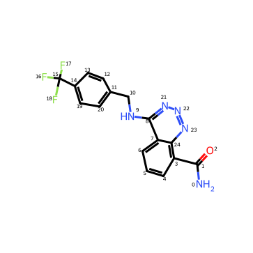 NC(=O)c1cccc2c(NCc3ccc(C(F)(F)F)cc3)nnnc12